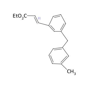 CCOC(=O)/C=C/c1cccc(Cc2cccc(C)c2)c1